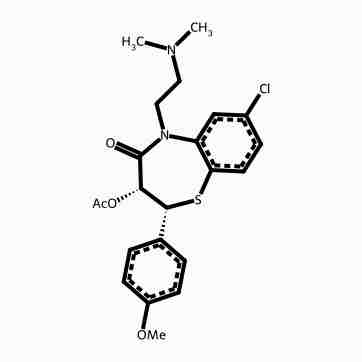 COc1ccc([C@H]2Sc3ccc(Cl)cc3N(CCN(C)C)C(=O)[C@H]2OC(C)=O)cc1